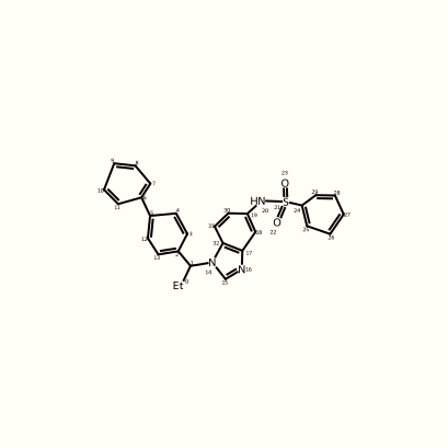 CCC(c1ccc(-c2ccccc2)cc1)n1cnc2cc(NS(=O)(=O)c3ccccc3)ccc21